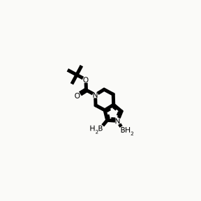 Bc1c2c(cn1B)CCN(C(=O)OC(C)(C)C)C2